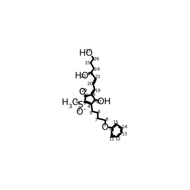 C[S+]([O-])C1=C(CCCCOc2ccccc2)C(O)C(=CC=CC(O)CCCO)C1=O